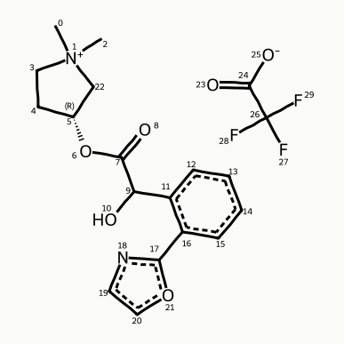 C[N+]1(C)CC[C@@H](OC(=O)C(O)c2ccccc2-c2ncco2)C1.O=C([O-])C(F)(F)F